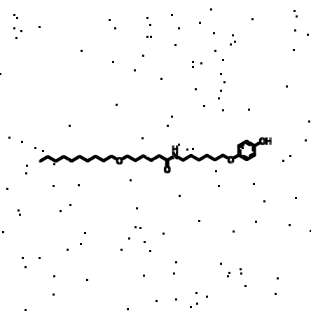 CCCCCCCCCCOCCCCCC(=O)NCCCCCCOc1ccc(O)cc1